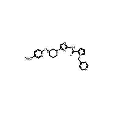 COc1ccc(O[C@@H]2CCC[C@H](c3csc(NC(=O)c4cccn4Cc4ccncc4)n3)C2)nc1